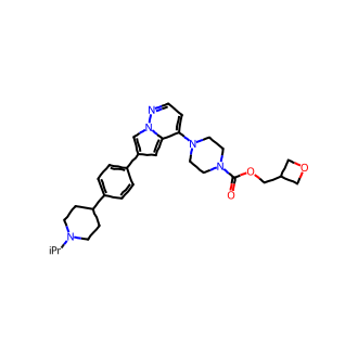 CC(C)N1CCC(c2ccc(-c3cc4c(N5CCN(C(=O)OCC6COC6)CC5)ccnn4c3)cc2)CC1